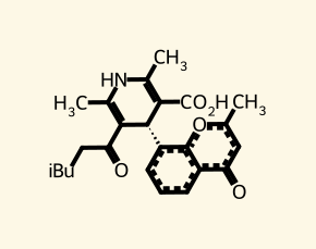 CCC(C)CC(=O)C1=C(C)NC(C)=C(C(=O)O)[C@@H]1c1cccc2c(=O)cc(C)oc12